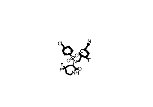 N#Cc1ccc(CN([C@@H]2CC(F)(F)CCNC2=O)S(=O)(=O)c2ccc(Cl)cc2)c(F)c1